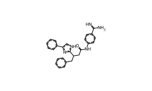 N=C(N)c1ccc(NC(=O)CC(Cc2ccccc2)c2nc(-c3ccccc3)c[nH]2)cc1